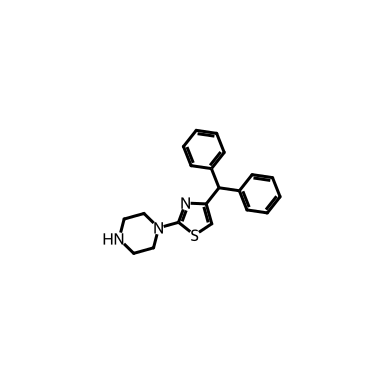 c1ccc(C(c2ccccc2)c2csc(N3CCNCC3)n2)cc1